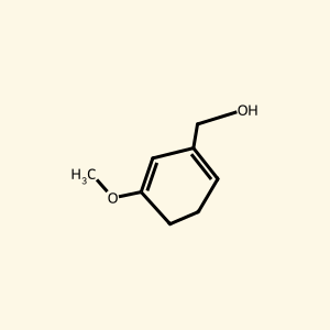 COC1=CC(CO)=CCC1